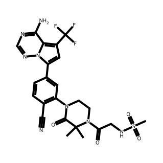 CC1(C)C(=O)N(c2cc(-c3cc(C(F)(F)F)c4c(N)ncnn34)ccc2C#N)CCN1C(=O)CNS(C)(=O)=O